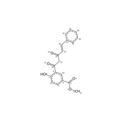 COC(=O)c1ccc(O)c(C(=O)CC(=O)C=Cc2ccccc2)c1